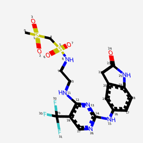 CS(=O)(=O)CS(=O)(=O)NCCNc1nc(Nc2ccc3c(c2)CC(=O)N3)ncc1C(F)(F)F